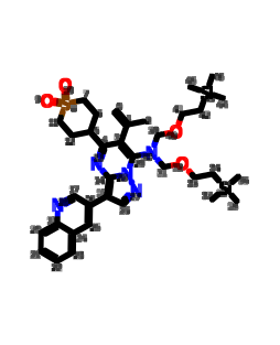 C=C(C)c1c(C2CCS(=O)(=O)CC2)nc2c(-c3cnc4ccccc4c3)cnn2c1N(COCC[Si](C)(C)C)COCC[Si](C)(C)C